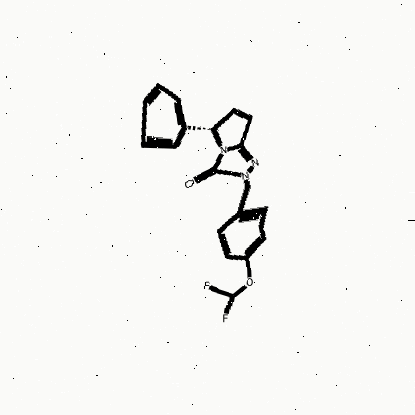 O=c1n(-c2ccc(OC(F)F)cc2)nc2n1[C@H](c1ccccc1)CC2